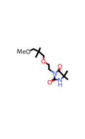 COCC(C)(C)COCCN1C(=O)NC(C)(C)C1=O